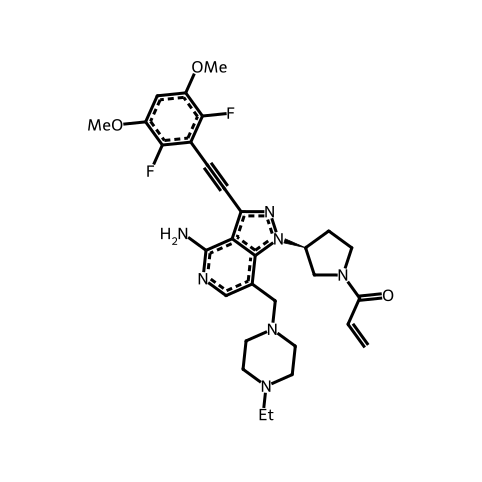 C=CC(=O)N1CC[C@H](n2nc(C#Cc3c(F)c(OC)cc(OC)c3F)c3c(N)ncc(CN4CCN(CC)CC4)c32)C1